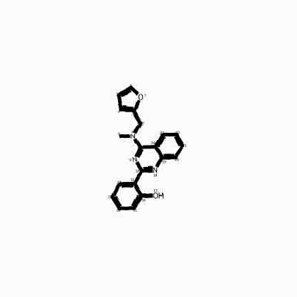 CN(Cc1ccco1)c1nc(-c2ccccc2O)nc2ccccc12